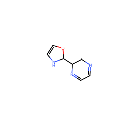 [CH]1N=CC=NC1C1NC=CO1